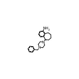 Nc1cccc2c1CCCC[C@H]2N1CCN(Cc2ccccc2)CC1